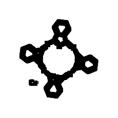 [Cu].c1ccc2c(c1)-c1nc-2nc2[nH]c(nc3nc(nc4[nH]c(n1)c1ccccc41)-c1ccccc1-3)c1ccccc21